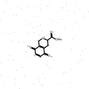 COC(=O)C1CC2=C(CS1)C(=O)C=CC2=O